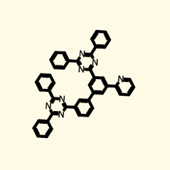 c1ccc(-c2nc(-c3ccccc3)nc(-c3cccc(-c4cc(-c5ccccn5)cc(-c5nc(-c6ccccc6)nc(-c6ccccc6)n5)c4)c3)n2)cc1